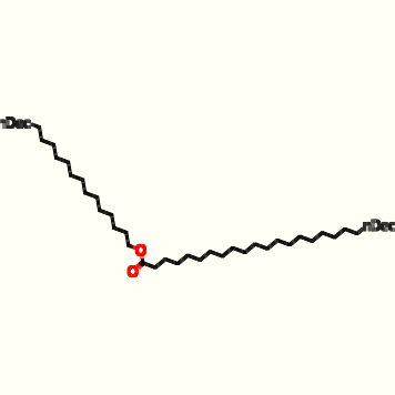 CCCCCCCCCCCCCCCCCCCCCCCCCCCCCC(=O)OCCCCCCCCCCCCCCCCCCCCCCCC